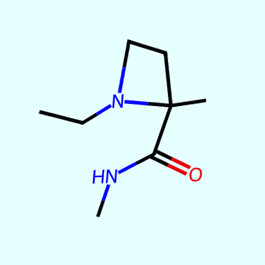 CCN1CCC1(C)C(=O)NC